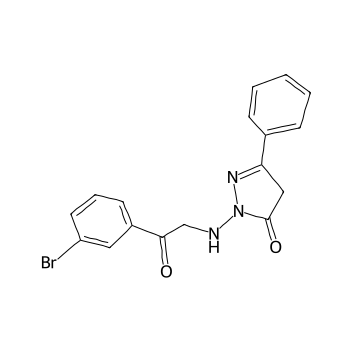 O=C(CNN1N=C(c2ccccc2)CC1=O)c1cccc(Br)c1